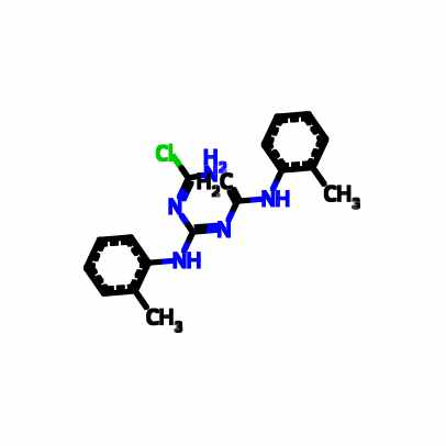 C=C(/N=C(\N=C(/N)Cl)Nc1ccccc1C)Nc1ccccc1C